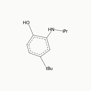 CC(C)Nc1cc(C(C)(C)C)ccc1O